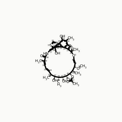 CO[C@H]1/C=C/O[C@@]2(C)Oc3c(C)c(O)c4c(O)c(c5scnc5c4c3C2=O)NC(=O)/C(C)=C\C=C\[C@H](C)[C@H](O)[C@@H](C)[C@@H](O)[C@@H](C)[C@H](OC(C)=O)[C@@H]1C